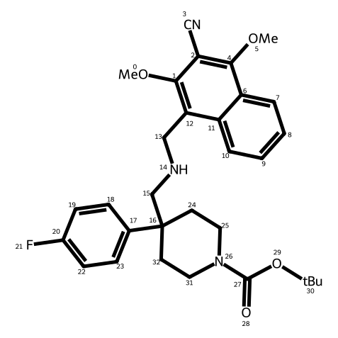 COc1c(C#N)c(OC)c2ccccc2c1CNCC1(c2ccc(F)cc2)CCN(C(=O)OC(C)(C)C)CC1